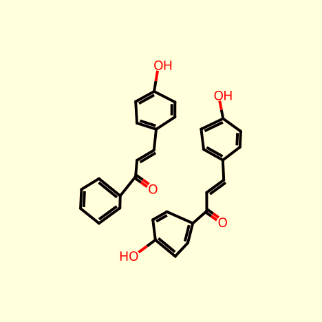 O=C(C=Cc1ccc(O)cc1)c1ccc(O)cc1.O=C(C=Cc1ccc(O)cc1)c1ccccc1